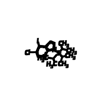 CC(C)[Si](C(C)C)(C(C)C)n1ccc2c(I)c(Cl)cnc21